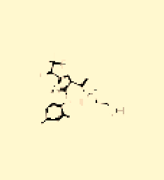 C=C(NOCCO)c1cc(C(=O)C(F)(F)F)n(C)c1Nc1ccc(I)cc1F